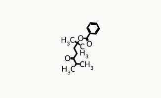 CC(C)C(=O)CCC(C)(C)OC(=O)c1ccccc1